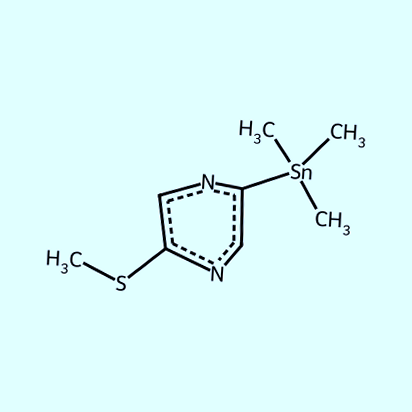 CSc1cn[c]([Sn]([CH3])([CH3])[CH3])cn1